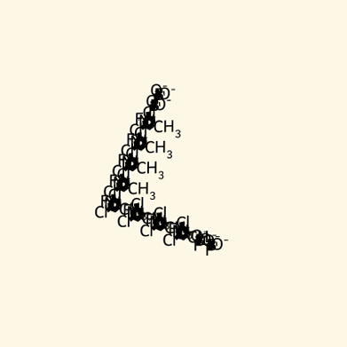 Cc1cc(Cl)[n+](F)c(Cl)c1.Cc1cc(Cl)[n+](F)c(Cl)c1.Cc1cc(Cl)[n+](F)c(Cl)c1.Cc1cc(Cl)[n+](F)c(Cl)c1.Cc1cc(Cl)[n+](F)c(Cl)c1.Cc1cc(Cl)[n+](F)c(Cl)c1.Cc1cc(Cl)[n+](F)c(Cl)c1.Cc1cc(Cl)[n+](F)c(Cl)c1.[O-]B([O-])F.[O-]B([O-])F.[O-]B([O-])F.[O-]B([O-])F